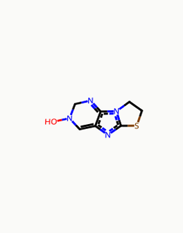 ON1C=c2nc3n(c2=NC1)CCS3